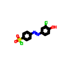 O=S(=O)(Cl)c1ccc(N=Nc2ccc(O)c(Cl)c2)cc1